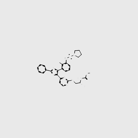 COC(=O)N[C@@H](C)CNc1nccc(-c2sc(-c3ccccc3)nc2-c2cccc(NS(=O)(=O)N3CCCC3)c2F)n1